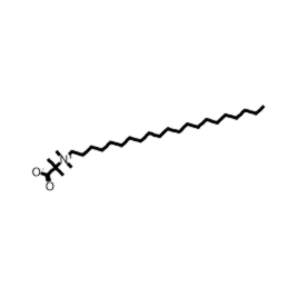 CCCCCCCCCCCCCCCCCCCCC[N+](C)(C)C(C)(C)C(=O)[O-]